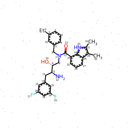 CCc1cccc(CN(C[C@@H](O)[C@@H](N)Cc2cc(F)cc(F)c2)C(=O)c2cccc3c(C)c(C)[nH]c23)c1